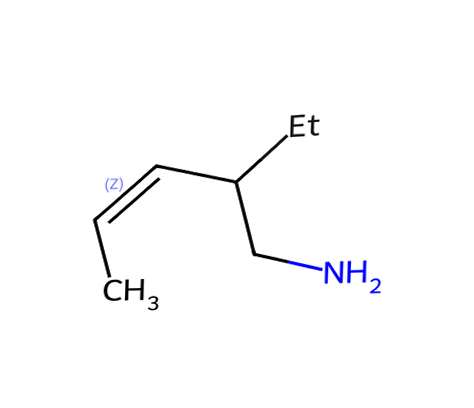 C/C=C\C(CC)CN